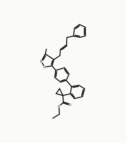 CCOC(=O)C1(c2ccccc2-c2ccc(-c3onc(C)c3CC=CCc3ccccc3)cc2)CC1